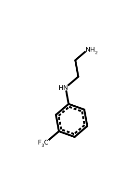 NCCNc1cccc(C(F)(F)F)c1